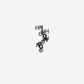 CNCCNC(=O)c1ccc2nnc(COc3ccnc4cc(OC)ccc34)n2c1